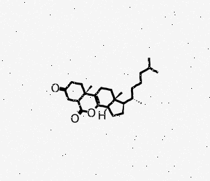 CC(C)CCC[C@H](C)[C@H]1CC[C@H]2C3=C(CC[C@]12C)[C@@]1(C)CCC(=O)CC1C(=O)O3